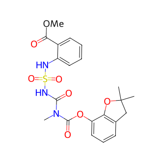 COC(=O)c1ccccc1NS(=O)(=O)NC(=O)N(C)C(=O)Oc1cccc2c1OC(C)(C)C2